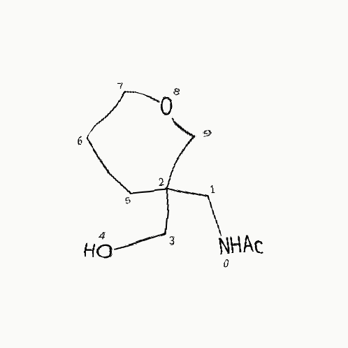 CC(=O)NCC1(CO)CCCOC1